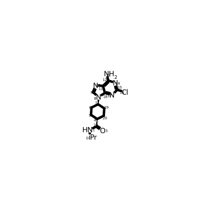 CC(C)NC(=O)[C@H]1CC[C@@H](n2cnc3c(N)nc(Cl)nc32)CC1